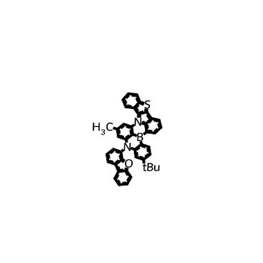 Cc1cc2c3c(c1)-n1c4c(cccc4c4sc5ccccc5c41)B3c1ccc(C(C)(C)C)cc1N2c1cccc2c1oc1ccccc12